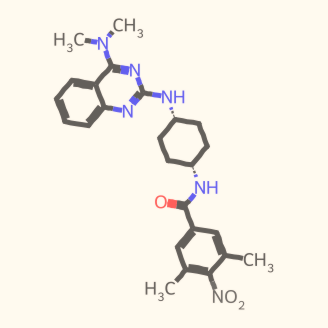 Cc1cc(C(=O)N[C@H]2CC[C@@H](Nc3nc(N(C)C)c4ccccc4n3)CC2)cc(C)c1[N+](=O)[O-]